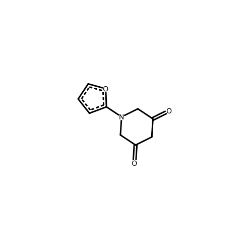 O=C1CC(=O)CN(c2ccco2)C1